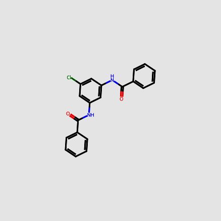 O=C(Nc1cc(Cl)cc(NC(=O)c2ccccc2)c1)c1ccccc1